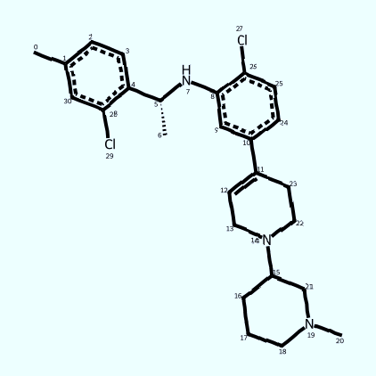 Cc1ccc([C@@H](C)Nc2cc(C3=CCN(C4CCCN(C)C4)CC3)ccc2Cl)c(Cl)c1